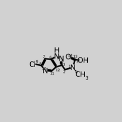 CN(Cc1n[nH]c2cc(Cl)ncc12)C(=O)O